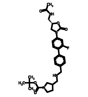 CC(=O)NC[C@H]1CN(c2ccc(-c3ccc(CNCC4CCN(C(=O)OC(C)(C)C)C4)cc3)c(F)c2)C(=O)O1